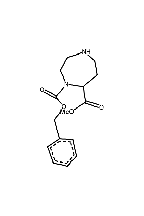 COC(=O)C1CCNCCN1C(=O)OCc1ccccc1